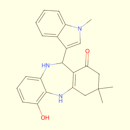 Cn1cc(C2Nc3cccc(O)c3NC3=C2C(=O)CC(C)(C)C3)c2ccccc21